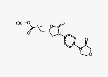 CC(C)(C)OC(=O)NC[C@H]1CN(c2ccc(N3CCOCC3=O)cc2)C(=O)O1